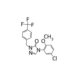 COc1ccc(Cl)cc1-n1cnn(Cc2ccc(C(F)(F)F)cc2)c1=O